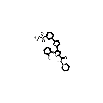 CS(=O)(=O)c1cccc(-c2ccc(-c3cc(C(=O)NN4CCCCC4)nn3-c3ccccc3Cl)s2)c1